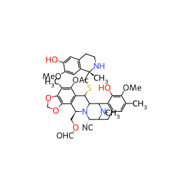 COc1cc2c(cc1O)CCN[C@]2(C)CS[C@@H]1c2c(OC(C)=O)c(C)c3c(c2[C@H](COC=O)N2C1C1c4c(cc(C)c(OC)c4O)CC([C@@H]2C#N)N1C)OCO3